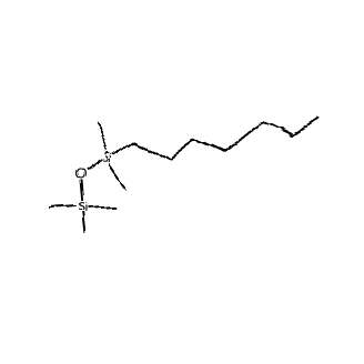 CCCCCCC[Si](C)(C)O[Si](C)(C)C